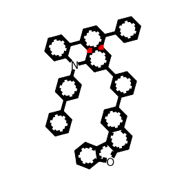 c1ccc(-c2ccc(-c3ccccc3N(c3ccc(-c4ccccc4)cc3)c3cccc(-c4cccc(-c5ccc6c(ccc7oc8ccccc8c76)c5)c4)c3)cc2)cc1